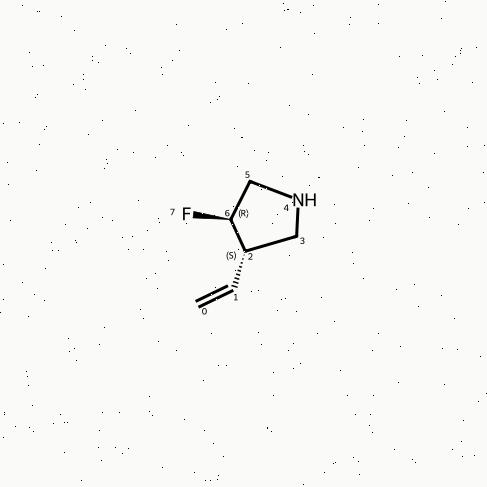 C=C[C@H]1CNC[C@@H]1F